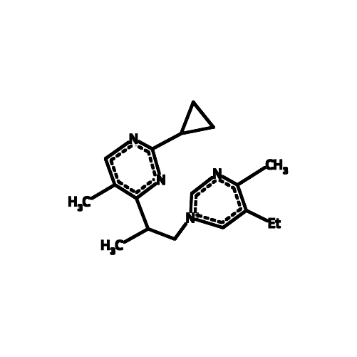 CCc1c[n+](CC(C)c2nc(C3CC3)ncc2C)cnc1C